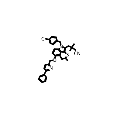 CC1Cc2c(OCc3ccc(-c4ccccc4)cn3)ccc3c2c(c(CC(C)(C)CC#N)n3Cc2ccc(Cl)cc2)S1